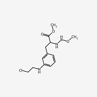 COBNC(Cc1cccc(NCCCl)c1)C(=O)OC